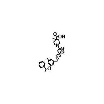 Cc1cc(CN2CC3(CC(N4CCC(C)(C(=O)O)CC4)=NO3)C2)cc(OC(C)c2ccccc2)c1